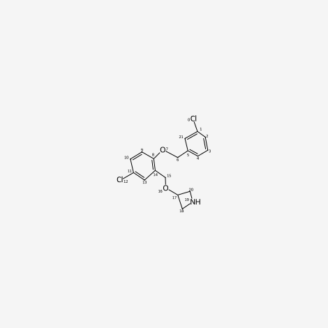 Clc1cccc(COc2ccc(Cl)cc2COC2CNC2)c1